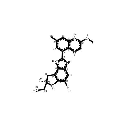 COc1cnc2c(-c3nc4cc(F)c5c(c4s3)C[C@](C)(CO)O5)cc(C)cc2n1